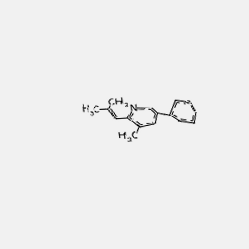 CC(C)=Cc1ncc(-c2ccccc2)cc1C